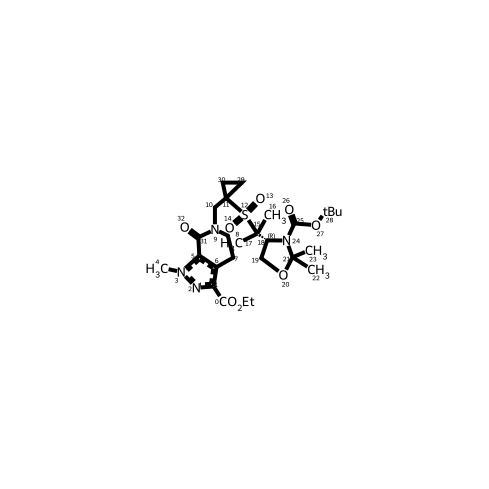 CCOC(=O)c1nn(C)c2c1CCN(CC1(S(=O)(=O)C(C)(C)[C@H]3COC(C)(C)N3C(=O)OC(C)(C)C)CC1)C2=O